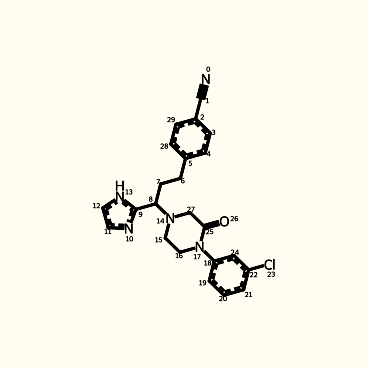 N#Cc1ccc(CCC(c2ncc[nH]2)N2CCN(c3cccc(Cl)c3)C(=O)C2)cc1